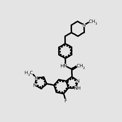 C=C(Nc1ccc(CC2CCN(C)CC2)cc1)c1n[nH]c2c(F)cc(-c3cnn(C)c3)cc12